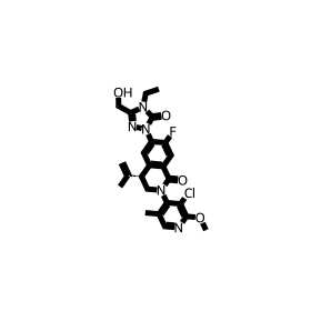 C=C(C)[C@H]1CN(c2c(C)cnc(OC)c2Cl)C(=O)c2cc(F)c(-n3nc(CO)n(CC)c3=O)cc21